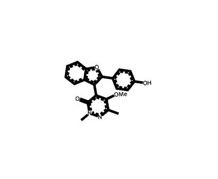 COc1c(C)nn(C)c(=O)c1-c1c(-c2ccc(O)cc2)oc2ccccc12